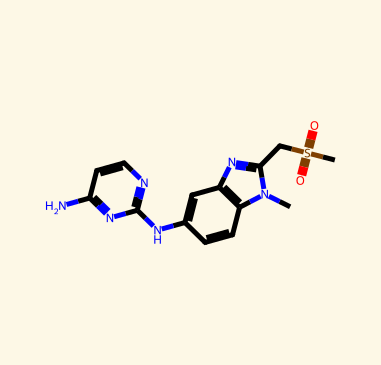 Cn1c(CS(C)(=O)=O)nc2cc(Nc3nccc(N)n3)ccc21